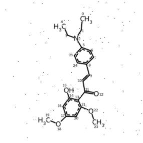 CCN(CC)c1ccc(/C=C/C(=O)c2c(O)cc(OC)cc2OC)cc1